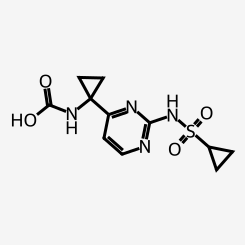 O=C(O)NC1(c2ccnc(NS(=O)(=O)C3CC3)n2)CC1